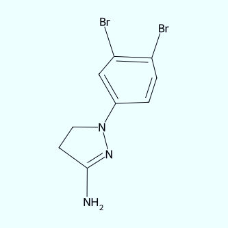 NC1=NN(c2ccc(Br)c(Br)c2)CC1